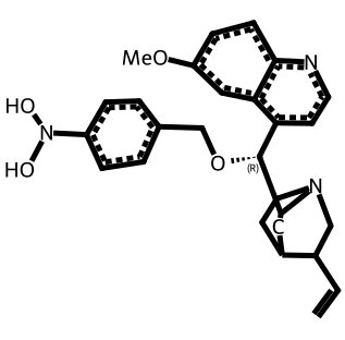 C=CC1CN2CCC1CC2[C@H](OCc1ccc(N(O)O)cc1)c1ccnc2ccc(OC)cc12